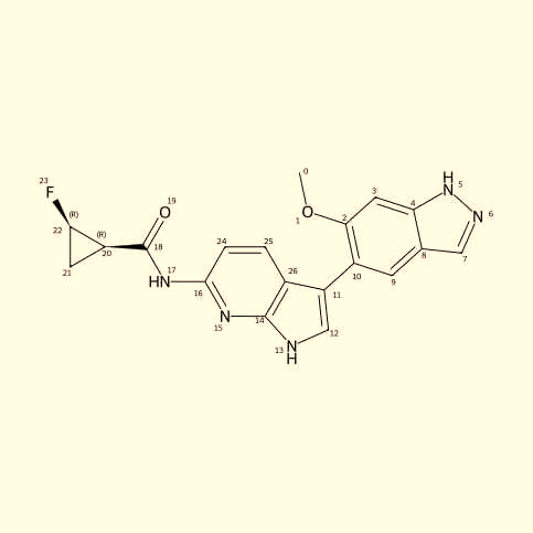 COc1cc2[nH]ncc2cc1-c1c[nH]c2nc(NC(=O)[C@H]3C[C@H]3F)ccc12